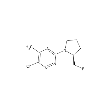 Cc1nc(N2CCC[C@H]2CF)nnc1Cl